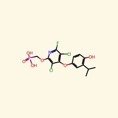 CC(C)c1cc(Oc2c(Cl)c(F)nc(OCP(=O)(O)O)c2Cl)ccc1O